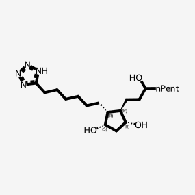 CCCCCC(O)CC[C@@H]1[C@@H](CCCCCCc2nnn[nH]2)[C@@H](O)C[C@H]1O